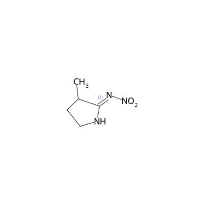 CC1CCN/C1=N\[N+](=O)[O-]